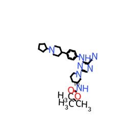 CC(C)(C)OC(=O)N[C@@H]1CCCN(c2cnc(C#N)c(Nc3ccc(C4CCN(C5CCCC5)CC4)cc3)n2)C1